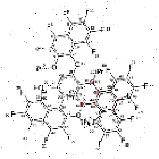 CC(C)Oc1c(F)c(F)c2c(F)c(F)c(F)c(F)c2c1Oc1cc(C(=O)O)c(-c2c(OC(C)C)c(F)c(F)c3c(F)c(F)c(F)c(F)c23)c(Oc2c(OC(C)C)c(F)c(F)c3c(F)c(F)c(F)c(F)c23)c1Oc1c(OC(C)C)c(F)c(F)c2c(F)c(F)c(F)c(F)c12